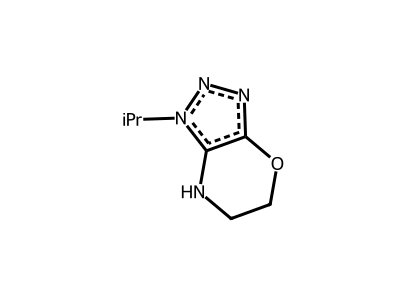 CC(C)n1nnc2c1NCCO2